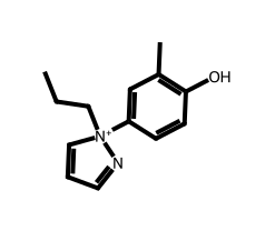 CCC[N+]1(c2ccc(O)c(C)c2)C=CC=N1